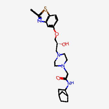 Cc1nc2cc(OC[C@H](O)CN3CCN(CC(=O)NC4CC5CCC4C5)CC3)ccc2s1